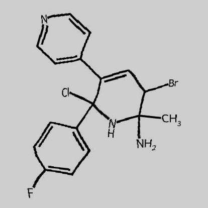 CC1(N)NC(Cl)(c2ccc(F)cc2)C(c2ccncc2)=CC1Br